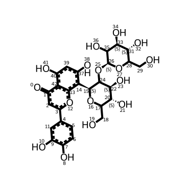 O=c1cc(-c2ccc(O)c(O)c2)oc2c([C@@H]3OC(CO)[C@@H](O)[C@H](O)C3O[C@@H]3OC(CO)[C@@H](O)[C@H](O)C3O)c(O)cc(O)c12